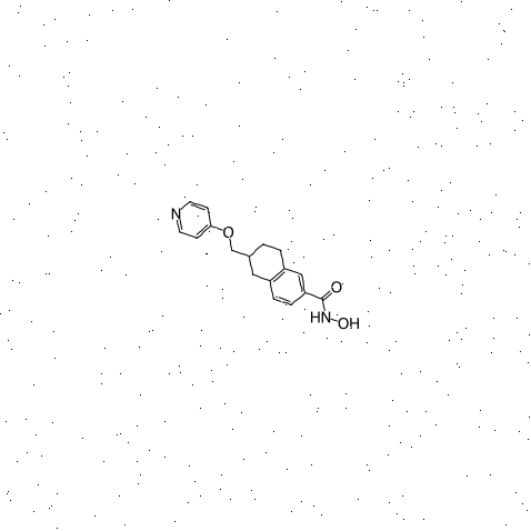 O=C(NO)c1ccc2c(c1)CCC(COc1ccncc1)C2